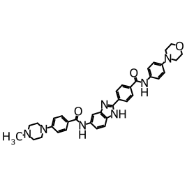 CN1CCN(c2ccc(C(=O)Nc3ccc4[nH]c(-c5ccc(C(=O)Nc6ccc(N7CCOCC7)cc6)cc5)nc4c3)cc2)CC1